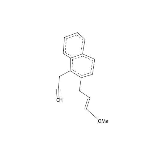 C#CCc1c(CC=COC)ccc2ccccc12